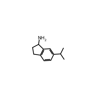 CC(C)c1ccc2c(c1)C(N)CC2